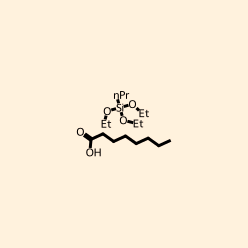 CCCCCCCC(=O)O.CCC[Si](OCC)(OCC)OCC